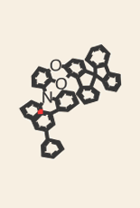 c1ccc(-c2cccc(-c3ccccc3N(c3ccccc3)c3cccc4c3Oc3c(ccc5c3-c3ccccc3C53c5ccccc5-c5ccccc53)O4)c2)cc1